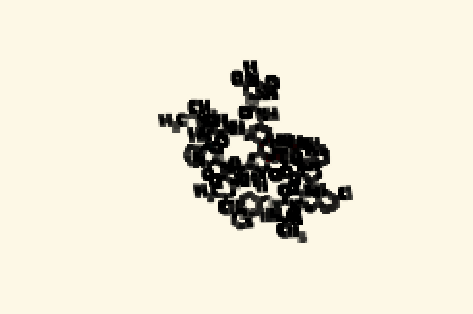 CC(=O)N[C@H](Cc1ccc2ccccc2c1)C(=O)N[C@H](Cc1ccc(Cl)cc1)C(=O)N[C@H](Cc1cccnc1)C(=O)N[C@@H](CO)C(=O)N[C@@H](Cc1ccc(NC(=O)[C@@H]2CC(=O)NC(=O)N2)cc1)C(=O)N[C@H](Cc1ccc(NC(N)=O)cc1)C(=O)N[C@@H](CC(C)C)C(=O)N[C@@H](CCCCNC(C)C)C(=O)N1CCC[C@H]1C(=O)N[C@@H](C)C(N)=O